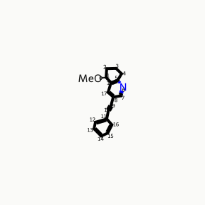 CO[C@H]1CCCc2ncc(C#Cc3ccccc3)cc21